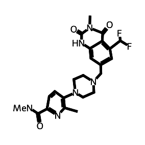 CNC(=O)c1ccc(N2CCN(Cc3cc(C(F)F)c4c(=O)n(C)c(=O)[nH]c4c3)CC2)c(C)n1